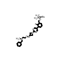 CN(CCON=C1CN(c2ncc(-c3cccc(CO[Si](C)(C)C(C)(C)C)c3F)cn2)C1)Cc1ccccc1